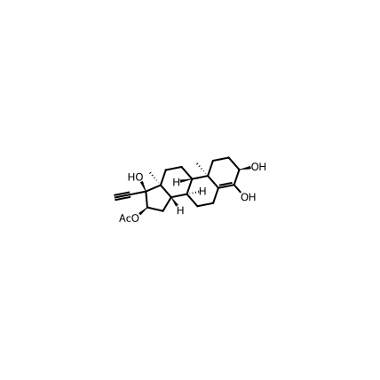 C#C[C@@]1(O)[C@H](OC(C)=O)C[C@H]2[C@@H]3CCC4=C(O)[C@H](O)CC[C@]4(C)[C@H]3CC[C@@]21C